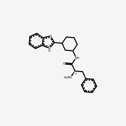 CC(=O)N[C@H](Cc1ccccc1)C(=O)NC1CCCC(c2nc3ccccc3[nH]2)C1